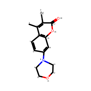 CC(=O)c1c(C)c2ccc(N3CCOCC3)cc2oc1=O